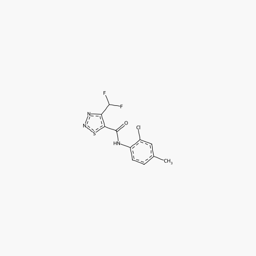 Cc1ccc(NC(=O)c2snnc2C(F)F)c(Cl)c1